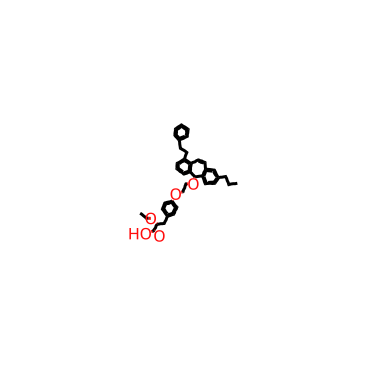 CCCc1ccc2c(c1)C=Cc1c(CCc3ccccc3)cccc1C2OCCOc1ccc(CC(OCC)C(=O)O)cc1